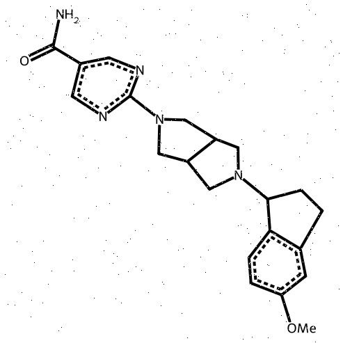 COc1ccc2c(c1)CCC2N1CC2CN(c3ncc(C(N)=O)cn3)CC2C1